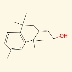 Cc1ccc2c(c1)C(C)(C)[C@@H](CCO)CC2(C)C